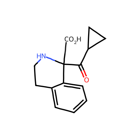 O=C(O)C1(C(=O)C2CC2)NCCc2ccccc21